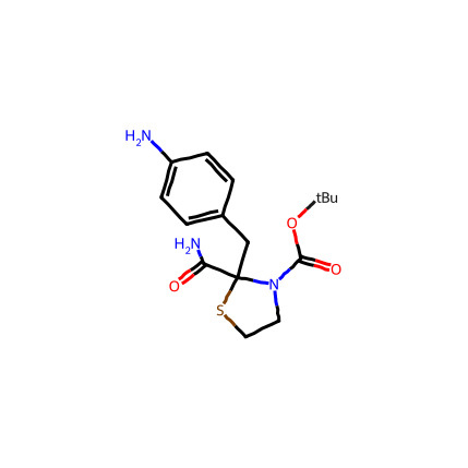 CC(C)(C)OC(=O)N1CCSC1(Cc1ccc(N)cc1)C(N)=O